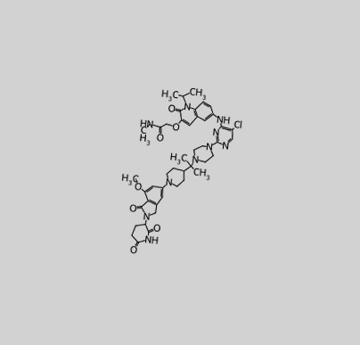 CNC(=O)COc1cc2cc(Nc3nc(N4CCN(C(C)(C)C5CCN(c6cc7c(c(OC)c6)C(=O)N(C6CCC(=O)NC6=O)C7)CC5)CC4)ncc3Cl)ccc2n(C(C)C)c1=O